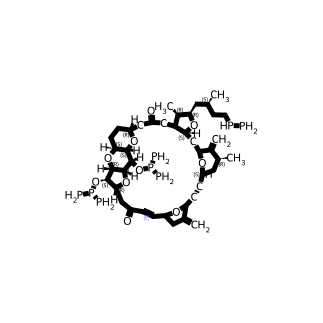 C=C1CC2/C=C/C(=O)C[C@H]3O[C@H]4[C@@H](OP(P)P)[C@H]5O[C@H](CC[C@@H]5O[C@H]4[C@H]3OP(P)P)CC(=O)CC3[C@H](CC4O[C@@H](CCC1O2)C[C@@H](C)C4=C)O[C@H](C[C@H](C)CCPP)[C@@H]3C